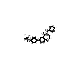 O=C1c2cc(-c3ccc(OC(F)(F)F)cc3)ccc2OCCN1Cc1cnccn1